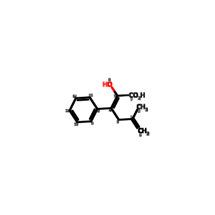 C=C(C)CC(=C(O)C(=O)O)c1ccccc1